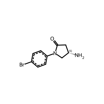 N[C@H]1CC(=O)N(c2ccc(Br)cc2)C1